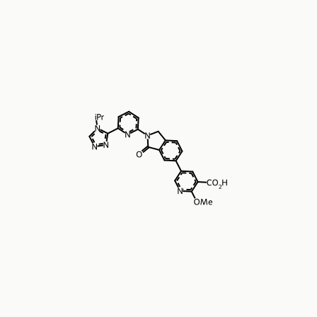 COc1ncc(-c2ccc3c(c2)C(=O)N(c2cccc(-c4nncn4C(C)C)n2)C3)cc1C(=O)O